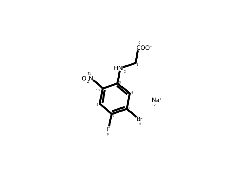 O=C([O-])CNc1cc(Br)c(F)cc1[N+](=O)[O-].[Na+]